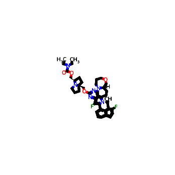 C#Cc1c(F)ccc2cccc(-c3nc4c5c(nc(OC[C@@]67CCCN6[C@H](COC(=O)N(CC)CC)CC7)nc5c3F)N3CCCOC[C@@H]3CC4)c12